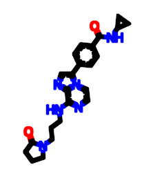 O=C(NC1CC1)c1ccc(-c2cnc3c(NCCCN4CCCC4=O)nccn23)cc1